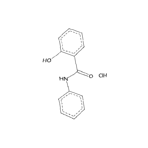 Cl.O=C(Nc1ccccc1)c1ccccc1O